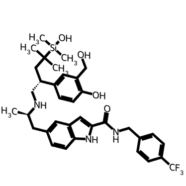 C[C@H](Cc1ccc2[nH]c(C(=O)NCc3ccc(C(F)(F)F)cc3)cc2c1)NC[C@H](CC(C)(C)[Si](C)(C)O)c1ccc(O)c(CO)c1